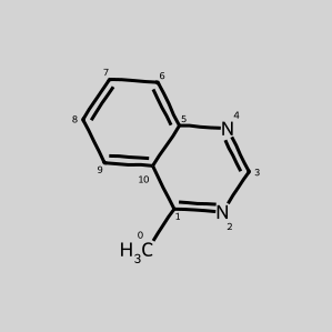 Cc1ncnc2ccccc12